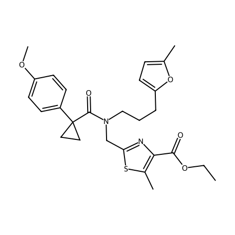 CCOC(=O)c1nc(CN(CCCc2ccc(C)o2)C(=O)C2(c3ccc(OC)cc3)CC2)sc1C